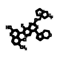 Cc1ccc2nc(O)cc(-c3ncc4c(-c5ccc6n5CCOC6)nc(OC[C@@]56CCCN5C[C@H](F)C6)nc4c3F)c2c1Cl